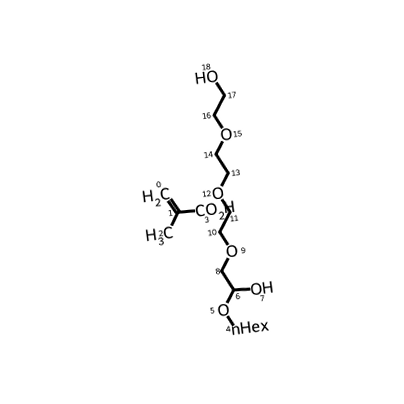 C=C(C)C(=O)O.CCCCCCOC(O)COCCOCCOCCO